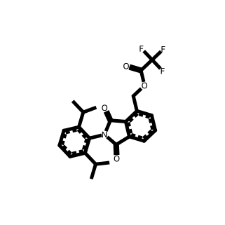 CC(C)c1cccc(C(C)C)c1N1C(=O)c2cccc(COC(=O)C(F)(F)F)c2C1=O